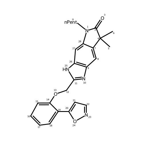 CCCCCN1C(=O)C(C)(C)c2cc3nc(COc4ccccc4-c4ccno4)[nH]c3cc21